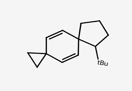 CC(C)(C)C1CCCC12C=CC1(C=C2)CC1